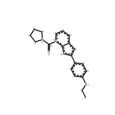 CCOc1ccc(-c2cc3cccn(C(=O)N4CCCC4)c-3n2)cc1